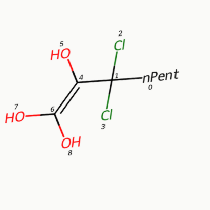 CCCCCC(Cl)(Cl)C(O)=C(O)O